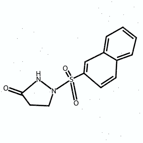 O=C1CCN(S(=O)(=O)c2ccc3ccccc3c2)N1